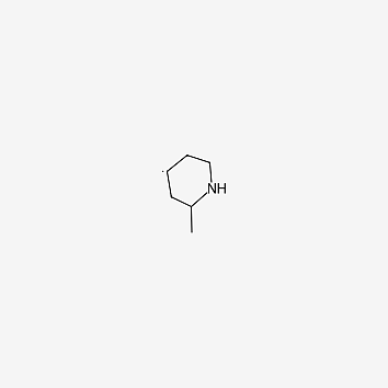 CC1C[CH]CCN1